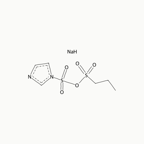 CCCS(=O)(=O)OS(=O)(=O)n1ccnc1.[NaH]